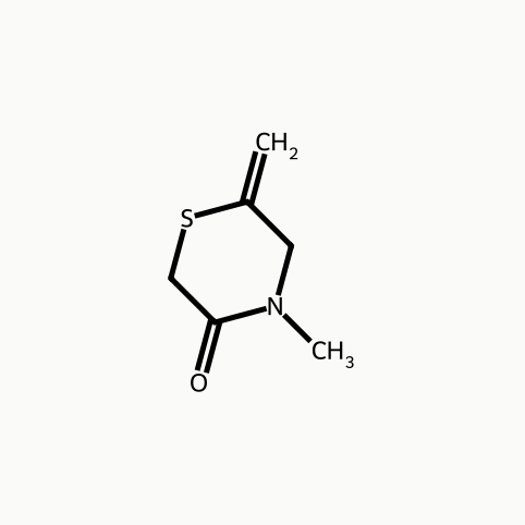 C=C1CN(C)C(=O)CS1